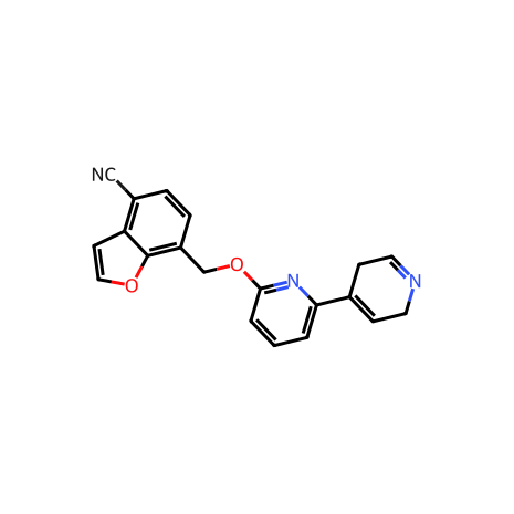 N#Cc1ccc(COc2cccc(C3=CCN=CC3)n2)c2occc12